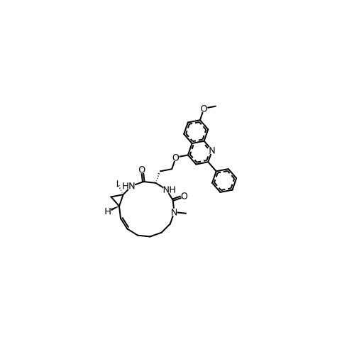 COc1ccc2c(OCC[C@@H]3NC(=O)N(C)CCCC/C=C\[C@@H]4C[C@@]4(I)NC3=O)cc(-c3ccccc3)nc2c1